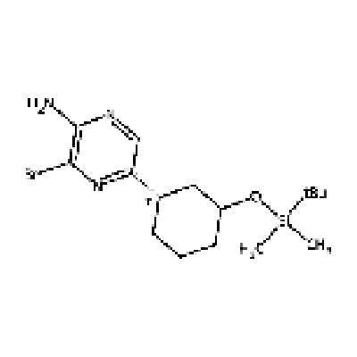 CC(C)(C)[Si](C)(C)OC1CCC[C@H](c2cnc(N)c(Br)n2)C1